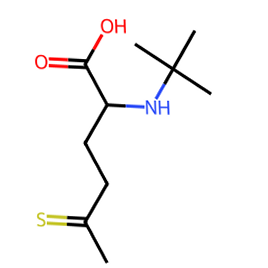 CC(=S)CCC(NC(C)(C)C)C(=O)O